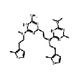 Cc1sccc1CCN(C)C1=NC(CCN(CCc2ccsc2C)C2=NC(C)N=C(N(C)C)N2)N=C(N)N1